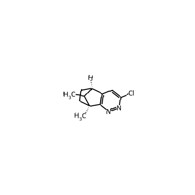 CC1[C@H]2CC[C@]1(C)c1nnc(Cl)cc12